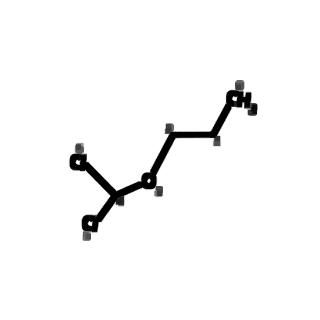 CCCOC(Cl)Cl